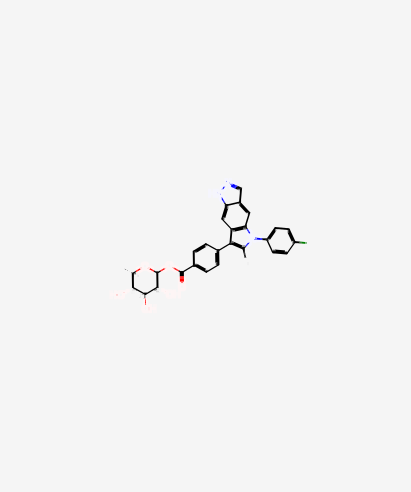 CC(C)c1c(-c2ccc(C(=O)OC3O[C@H](C(=O)O)[C@@H](O)[C@H](O)[C@H]3O)cc2)c2cc3[nH]ncc3cc2n1-c1ccc(F)cc1